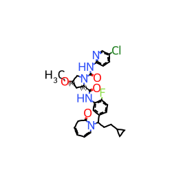 CO[C@@H]1C[C@H](C(=O)Nc2cc(C(CCC3CC3)N3C=CC=CCC3=O)ccc2F)N(C(=O)Nc2ccc(Cl)cn2)C1